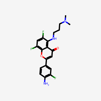 CN(C)CCCNc1c(F)cc(F)c2oc(-c3ccc(N)c(F)c3)cc(=O)c12